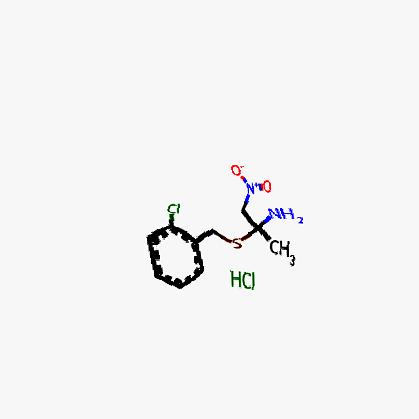 CC(N)(C[N+](=O)[O-])SCc1ccccc1Cl.Cl